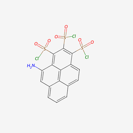 Nc1cc2cccc3ccc4c(S(=O)(=O)Cl)c(S(=O)(=O)Cl)c(S(=O)(=O)Cl)c1c4c32